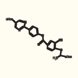 CCCCCCc1cnc(-c2ccc(OC(=O)c3ccc(OC(C)CCCCCC)c(C#N)c3)cc2)nc1